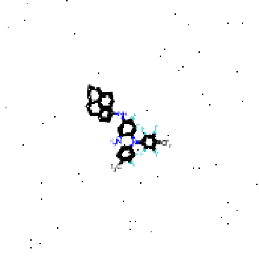 Nc1cc(Nc2ccc3ccc4c5c(ccc2c35)=CCC4)c(F)c(F)c1N(c1ccc(C(F)(F)F)c(F)c1F)c1c(F)c(F)c(C(F)(F)F)c(F)c1F